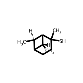 C[C@@H]1C2CCC(C)(S)C1[C@@H]2C